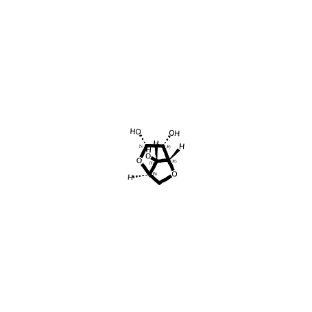 O[C@@H]1[C@@H]2OC[C@@H](O[C@@H]1O)[C@@H]2O